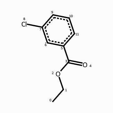 CCOC(=O)c1[c]c(Cl)ccc1